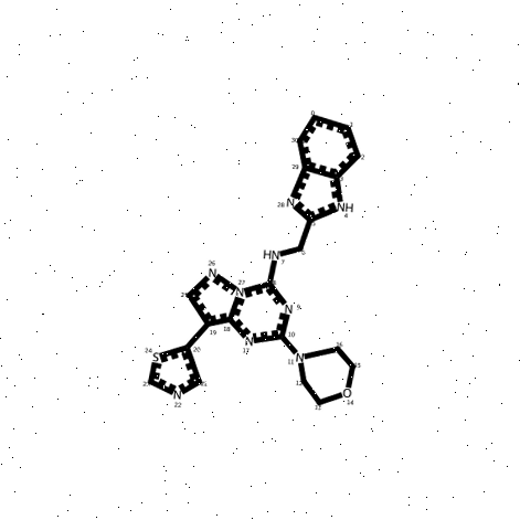 c1ccc2[nH]c(CNc3nc(N4CCOCC4)nc4c(-c5cncs5)cnn34)nc2c1